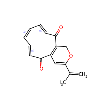 C=C(C)C1=CC2=C(CO1)C(=O)/C=C/C=C\C=C\C2=O